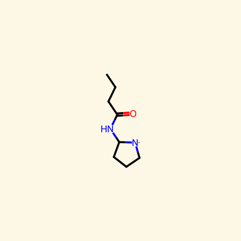 CCCC(=O)NC1CCC[N]1